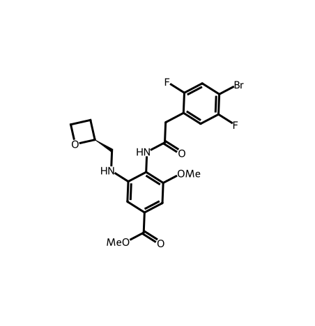 COC(=O)c1cc(NC[C@@H]2CCO2)c(NC(=O)Cc2cc(F)c(Br)cc2F)c(OC)c1